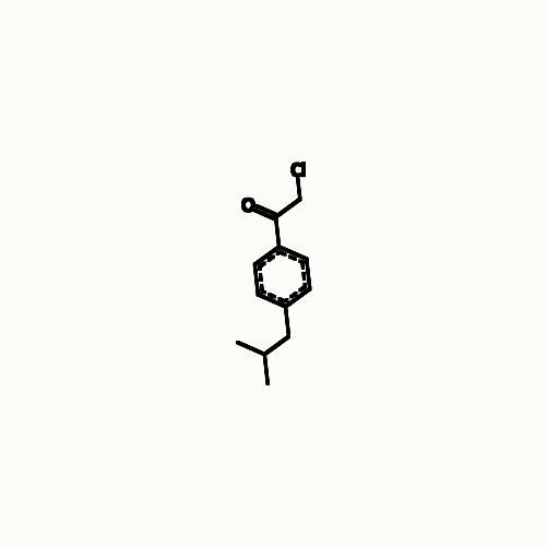 CC(C)Cc1ccc(C(=O)CCl)cc1